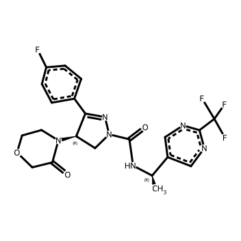 C[C@@H](NC(=O)N1C[C@@H](N2CCOCC2=O)C(c2ccc(F)cc2)=N1)c1cnc(C(F)(F)F)nc1